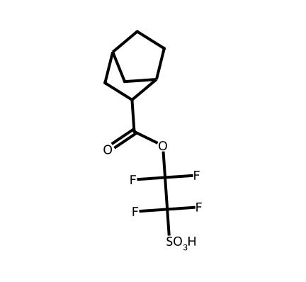 O=C(OC(F)(F)C(F)(F)S(=O)(=O)O)C1CC2CCC1C2